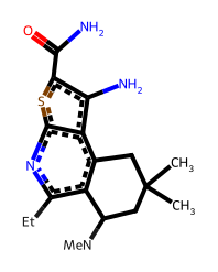 CCc1nc2sc(C(N)=O)c(N)c2c2c1C(NC)CC(C)(C)C2